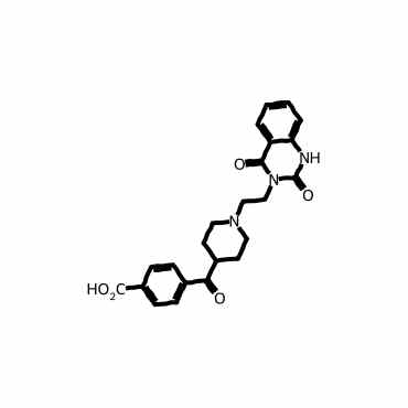 O=C(O)c1ccc(C(=O)C2CCN(CCn3c(=O)[nH]c4ccccc4c3=O)CC2)cc1